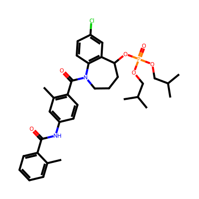 Cc1ccccc1C(=O)Nc1ccc(C(=O)N2CCCC(OP(=O)(OCC(C)C)OCC(C)C)c3cc(Cl)ccc32)c(C)c1